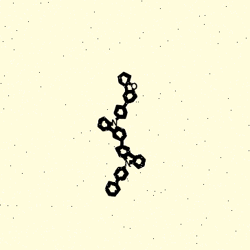 C1=CC2Oc3ccc(-c4ccc(-n5c6ccccc6c6cc(-c7ccc8c(c7)c7ccccc7n8-c7ccc(-c8ccccc8)cc7)ccc65)cc4)cc3C2C=C1